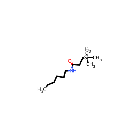 CCCCCCNC(=O)CC[Si](C)(C)C